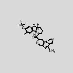 Nc1nc2cnc(C(=O)N3CCC[C@@H]4Oc5cc(OC(F)(F)F)c(F)cc5[C@@H]43)cc2n2cncc12